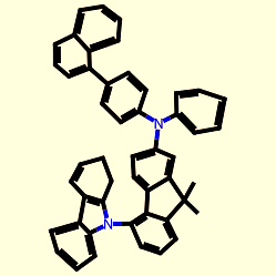 CC1(C)c2cc(N(c3ccccc3)c3ccc(-c4cccc5ccccc45)cc3)ccc2-c2c(-n3c4c(c5ccccc53)C=CCC4)cccc21